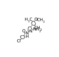 COc1cc(C)c(-c2ccc(NC(=O)c3ccc(Cl)cc3)nc2N)cc1C